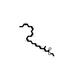 CC/C=C\C/C=C\C/C=C\C/C=C\CC/C=C/C=C/C(C)=C/C(=O)OCC